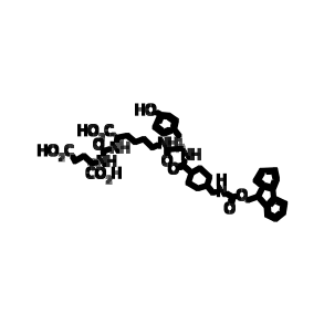 O=C(O)CC[C@H](NC(=O)N[C@@H](CCCCNC(=O)[C@H](Cc1ccc(O)cc1)NC(=O)C1CCC(CNC(=O)OCC2c3ccccc3-c3ccccc32)CC1)C(=O)O)C(=O)O